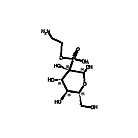 NCCOP(=O)(O)[C@@]1(O)[C@@H](O)O[C@H](CO)[C@@H](O)[C@@H]1O